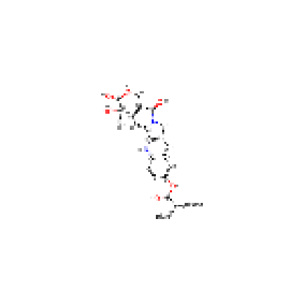 CCCCCCCCCC(CCCCC)C(=O)Oc1ccc2nc3c(cc2c1)Cn1c-3cc2c(c1=O)COC(=O)[C@]2(O)CC